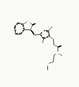 CNCCN(C)C(=O)CCc1c(C)[nH]c(/C=C2\C(=O)Nc3ccccc32)c1C